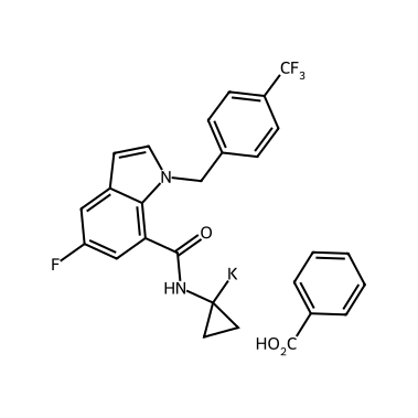 O=C(N[C]1([K])CC1)c1cc(F)cc2ccn(Cc3ccc(C(F)(F)F)cc3)c12.O=C(O)c1ccccc1